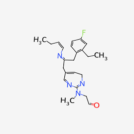 CC/C=C\N=C(\CC1=CCN=C(N(C)CC=O)N=C1)Cc1ccc(F)cc1CC